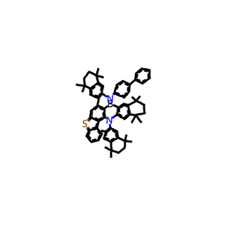 Cc1cc2c(cc1N1c3cc4c(cc3B3c5c(cc6sc7ccccc7c6c51)-c1cc5c(cc1N3c1ccc(-c3ccccc3)cc1)C(C)(C)CCC5(C)C)C(C)(C)CCC4(C)C)C(C)(C)CCC2(C)C